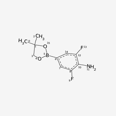 CC1(C)COB(c2cc(F)c(N)c(F)c2)O1